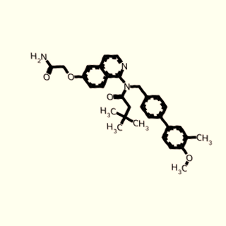 COc1ccc(-c2ccc(CN(C(=O)CC(C)(C)C)c3nccc4cc(OCC(N)=O)ccc34)cc2)cc1C